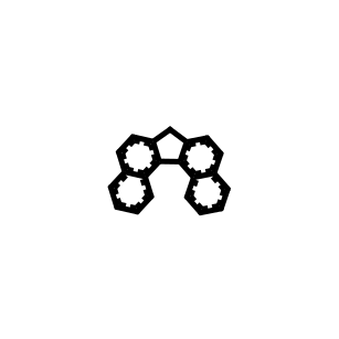 [CH]1c2ccc3ccccc3c2-c2c1ccc1ccccc21